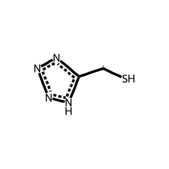 S[CH]c1nnn[nH]1